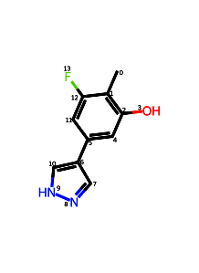 Cc1c(O)cc(-c2cn[nH]c2)cc1F